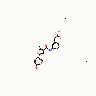 CCOC(=O)Cc1cccc(NC(=O)c2cc(-c3ccc(O)cc3)oc2C)c1